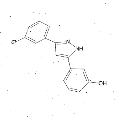 Oc1cccc(-c2cc(-c3cccc(Cl)c3)n[nH]2)c1